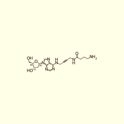 NCCCC(=O)NCC#CCNc1ncnc2c1ncn2[C@H]1C[C@H](O)[C@@H](CO)O1